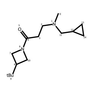 CN(CCC(=O)N1CC(C(C)(C)C)C1)CC1CC1